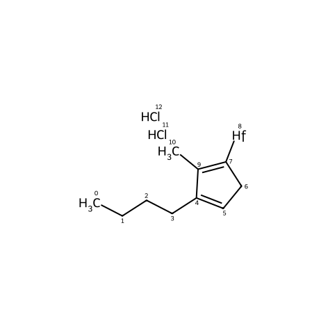 CCCCC1=CC[C]([Hf])=C1C.Cl.Cl